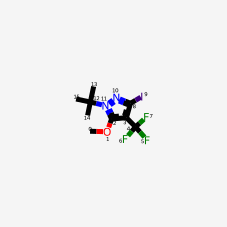 COc1c(C(F)(F)F)c(I)nn1C(C)(C)C